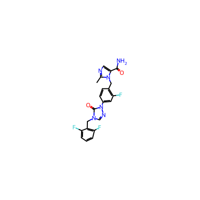 Cc1ncc(C(N)=O)n1Cc1ccc(-n2ncn(Cc3c(F)cccc3F)c2=O)cc1F